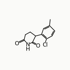 Cc1ccc(Cl)c(C2CCC(=O)NC2=O)c1